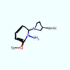 CCOC1=CC=CC(N2CCC(NC(C)=O)C2)N1N